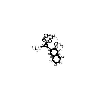 COC1(OC)C(C)C1c1cc2ccccc2cc1C